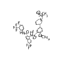 COc1ccc(C2CCCN(C[C@H](C)[S+]=O)C2)cc1C(=O)Nc1c(C(=O)Nc2ccc(F)c(C(F)(F)F)c2)sc2cc(C(F)(F)F)ccc12